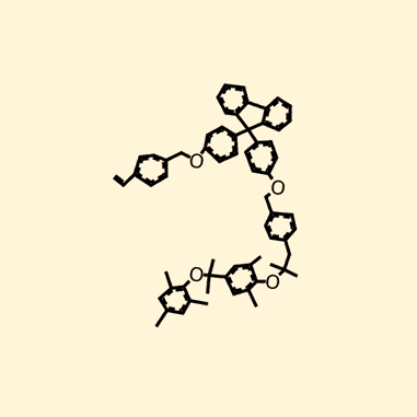 C=Cc1ccc(COc2ccc(C3(c4ccc(OCc5ccc(CC(C)(C)Oc6c(C)cc(C(C)(C)Oc7c(C)cc(C)cc7C)cc6C)cc5)cc4)c4ccccc4-c4ccccc43)cc2)cc1